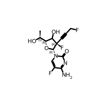 C[C@H](O)[C@H]1O[C@@H](n2cc(F)c(N)nc2=O)[C@@](F)(C#CCF)C1O